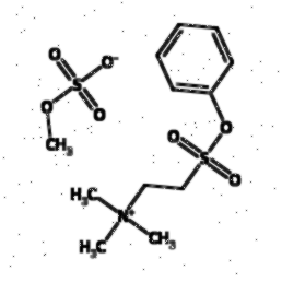 COS(=O)(=O)[O-].C[N+](C)(C)CCS(=O)(=O)Oc1ccccc1